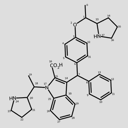 CC(Oc1ccc(C(c2ccccc2)c2c(C(=O)O)n(C(C)C3CCCN3)c3ccccc23)cc1)C1CCCN1